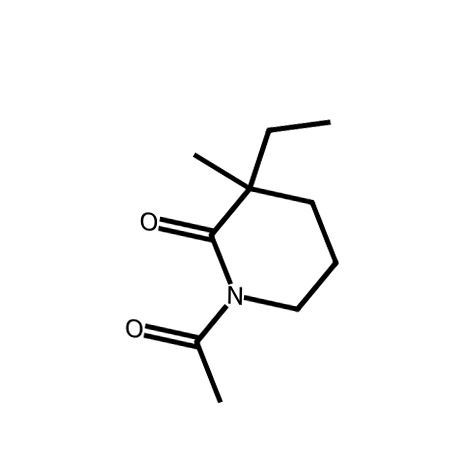 CCC1(C)CCCN(C(C)=O)C1=O